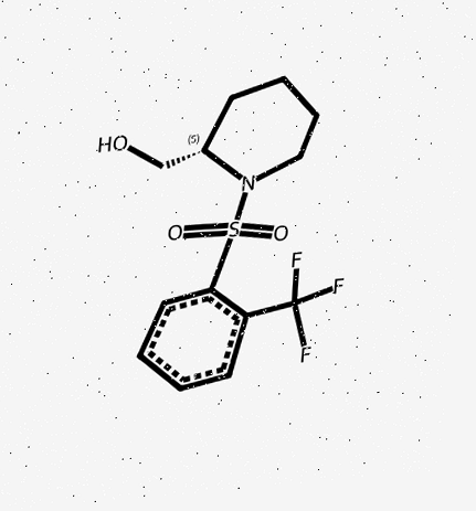 O=S(=O)(c1ccccc1C(F)(F)F)N1CCCC[C@H]1CO